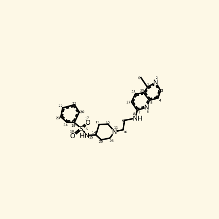 Cc1nccc2nc(NCCN3CCC(NS(=O)(=O)c4ccccc4)CC3)ccc12